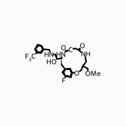 COCC1CCNC(=O)CCC(=O)N[C@H]([C@H](O)CNCc2cccc(C(F)(F)F)c2)Cc2cc(F)cc(c2)OC1